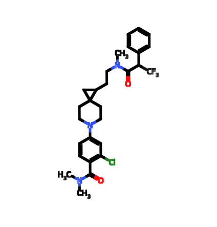 CN(C)C(=O)c1ccc(N2CCC3(CC2)CC3CCN(C)C(=O)C(c2ccccc2)C(F)(F)F)cc1Cl